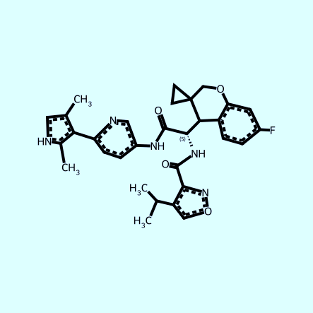 Cc1c[nH]c(C)c1-c1ccc(NC(=O)[C@@H](NC(=O)c2nocc2C(C)C)C2c3ccc(F)cc3OCC23CC3)cn1